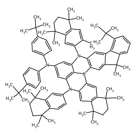 Cc1cc2c(cc1N1c3cc4c(cc3B3c5cc6c(cc5N(c5ccc7c(c5)C(C)(C)CCC7(C)C)c5cc(N(c7ccc(C(C)(C)C)cc7)c7ccc(C(C)(C)C)cc7)cc1c53)C(C)(C)CCC6(C)C)C(C)(C)c1cccc(C(C)(C)C)c1-4)C(C)(C)CCC2(C)C